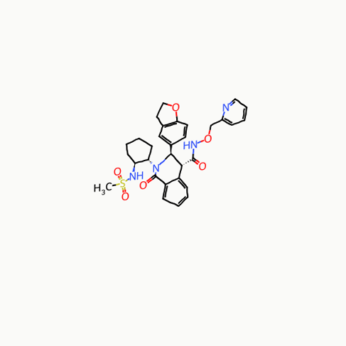 CS(=O)(=O)N[C@H]1CCCC[C@@H]1N1C(=O)c2ccccc2[C@@H](C(=O)NOCc2ccccn2)[C@@H]1c1ccc2c(c1)CCO2